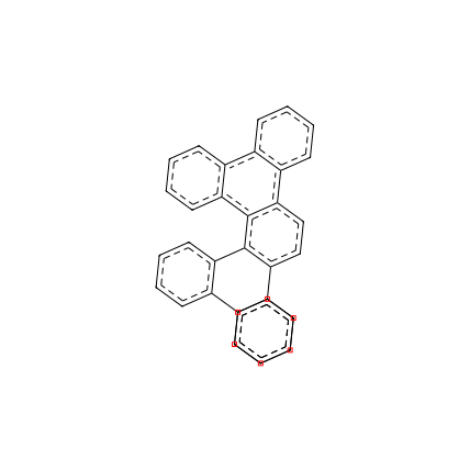 c1ccc(-c2ccccc2-c2c(-c3ccccc3)ccc3c4ccccc4c4ccccc4c23)cc1